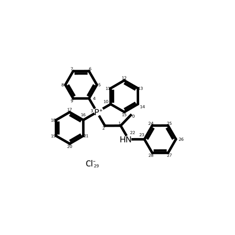 CC(C[P+](c1ccccc1)(c1ccccc1)c1ccccc1)Nc1ccccc1.[Cl-]